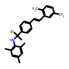 CCC(C)(Nc1c(C)cc(C)cc1C)c1ccc(C=Cc2cc(C(F)(F)F)ccc2C(F)(F)F)cc1